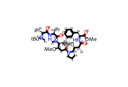 CCC(C)[C@@H]([C@@H](CC(=O)N1CCC[C@H]1[C@H](OC)[C@@H](C)C(=O)N[C@@H](Cc1ccccc1)C(=O)OC)OC)N(C)C(=O)[C@@H](NC(=O)[C@H](C(C)C)N(C)C(C)(C)C)C(C)C